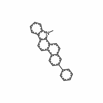 Cn1c2ccccc2c2ccc3c4ccc(-c5ccccc5)cc4ccc3c21